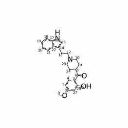 COc1ccc(C(=O)C2CCN(CCc3c[nH]c4ccccc34)CC2)c(O)c1